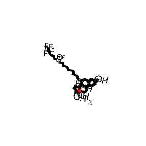 C[C@]12CC[C@@H]3c4ccc(O)cc4C[C@@H](CCCCCCCCC[S@@+]([O-])CCCC(F)(F)C(F)(F)F)[C@H]3[C@@H]1CC[C@@H]2O